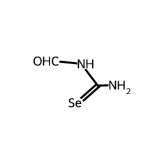 NC(=[Se])NC=O